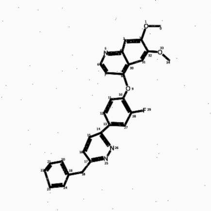 COc1cc2nccc(Oc3ccc(-c4ccc(Cc5ccccc5)nn4)cc3F)c2cc1OC